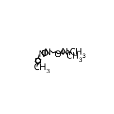 Cc1ccc(CN2CCN(CCCOC3CN(CC(C)C)C3)CC2)cc1